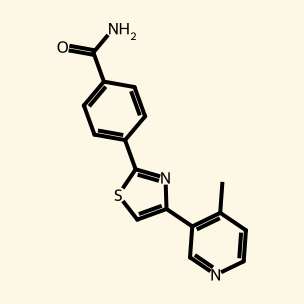 Cc1ccncc1-c1csc(-c2ccc(C(N)=O)cc2)n1